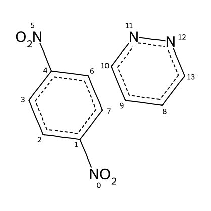 O=[N+]([O-])c1ccc([N+](=O)[O-])cc1.c1ccnnc1